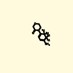 [2H]C1([2H])C(N)=CC=C(N2CCOCC2=O)C1([2H])[2H]